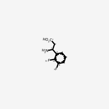 NC(CC(=O)O)c1cccc(F)c1F